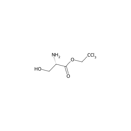 N[C@@H](CO)C(=O)OCC(Cl)(Cl)Cl